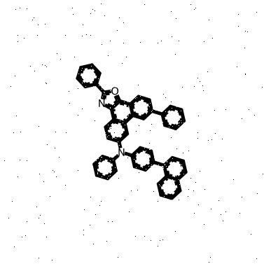 c1ccc(-c2ccc3c(c2)c2cc(N(c4ccccc4)c4ccc(-c5cccc6ccccc56)cc4)ccc2c2nc(-c4ccccc4)oc32)cc1